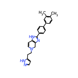 Cc1ccc(-c2ccc(-c3nc4c([nH]3)C=CN(CCc3ccn[nH]3)C4)cc2)cc1C